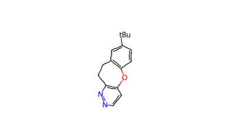 CC(C)(C)c1ccc2c(c1)CCc1nnccc1O2